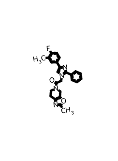 Cc1nc2c(o1)CN(C(=O)Cn1cc(-c3ccc(F)c(C)c3)nc1-c1ccccc1)CC2